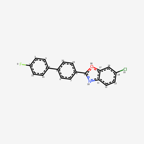 Fc1ccc(-c2ccc(-c3nc4ccc(Cl)cc4o3)cc2)cc1